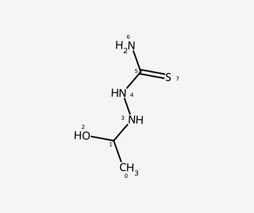 CC(O)NNC(N)=S